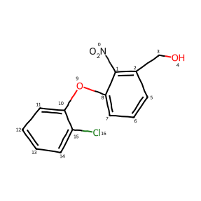 O=[N+]([O-])c1c(CO)cccc1Oc1ccccc1Cl